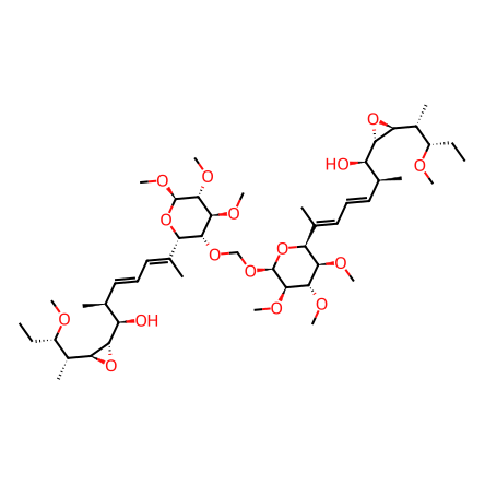 CC[C@H](OC)[C@@H](C)[C@@H]1O[C@H]1[C@H](O)[C@@H](C)/C=C/C=C(\C)[C@@H]1O[C@H](OCO[C@H]2[C@H](OC)[C@@H](OC)[C@H](OC)O[C@H]2/C(C)=C/C=C/[C@H](C)[C@@H](O)[C@@H]2O[C@H]2[C@H](C)[C@H](CC)OC)[C@H](OC)[C@@H](OC)[C@@H]1OC